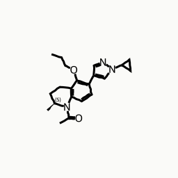 CCCOc1c(-c2cnn(C3CC3)c2)ccc2c1CC[C@H](C)N2C(C)=O